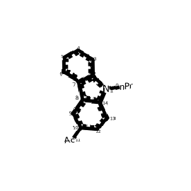 CCCn1c2ccccc2c2cc(C(C)=O)ccc21